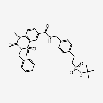 CN1C(=O)N(Cc2ccccc2)S(=O)(=O)c2cc(C(=O)NCc3ccc(CCS(=O)(=O)NC(C)(C)C)cc3)ccc21